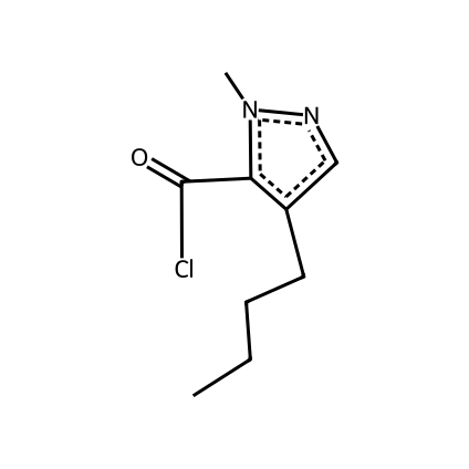 CCCCc1cnn(C)c1C(=O)Cl